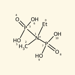 CC[N+](C)(P(=O)(O)O)P(=O)(O)O